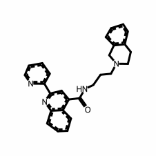 O=C(NCCCN1CCc2ccccc2C1)c1cc(-c2ccccn2)nc2ccccc12